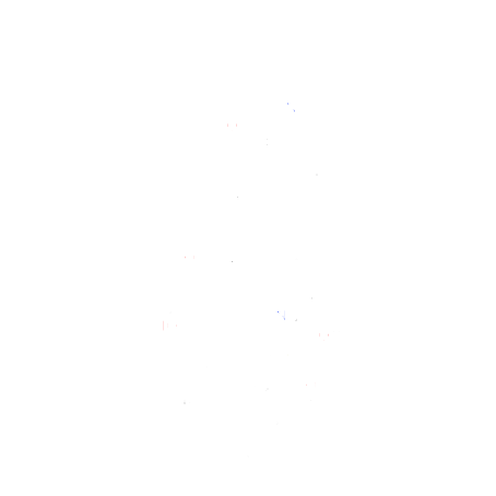 CCNC(=O)c1cccc(C(=O)C2=C(O)c3ccccc3S(=O)(=O)N2C)c1